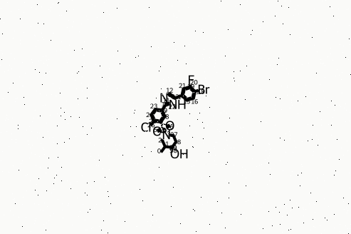 CC1CN(S(=O)(=O)c2cc(-c3ncc(-c4ccc(Br)c(F)c4)[nH]3)ccc2Cl)CC[C@H]1O